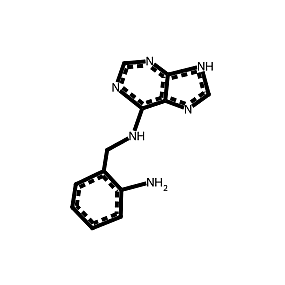 Nc1ccccc1CNc1ncnc2[nH]cnc12